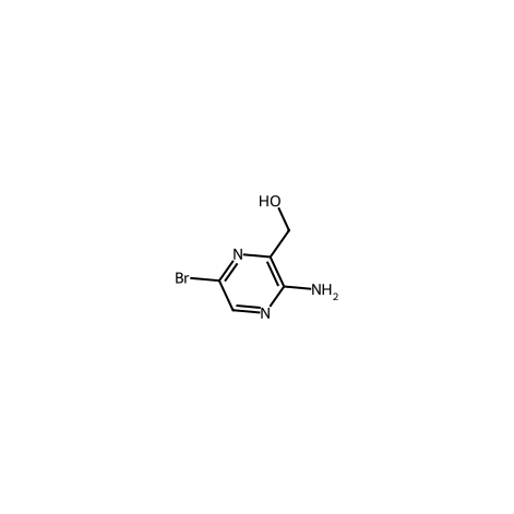 Nc1ncc(Br)nc1CO